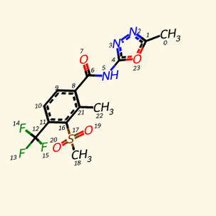 Cc1nnc(NC(=O)c2ccc(C(F)(F)F)c(S(C)(=O)=O)c2C)o1